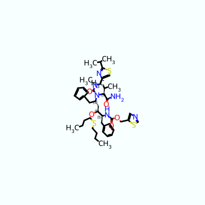 CCCCSC(CCC)O[C@@H](C[C@H](Cc1ccccc1)N(C(=O)N(C)Cc1csc(C(C)C)n1)[C@H](C(N)=O)C(C)C)[C@H](Cc1ccccc1)NC(=O)OCc1cncs1